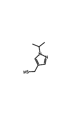 CC(C)n1cc(CS)cn1